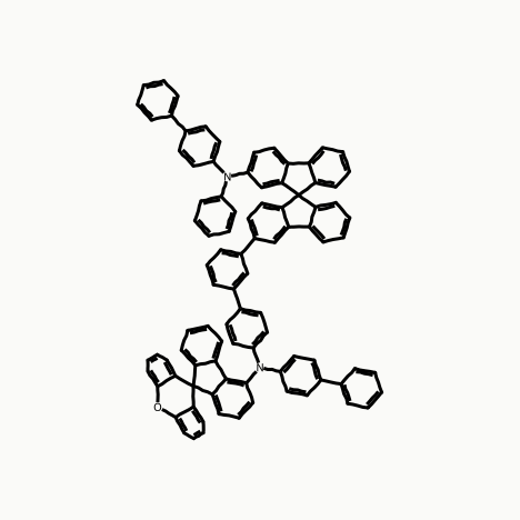 c1ccc(-c2ccc(N(c3ccccc3)c3ccc4c(c3)C3(c5ccccc5-c5cc(-c6cccc(-c7ccc(N(c8ccc(-c9ccccc9)cc8)c8cccc9c8-c8ccccc8C98c9ccccc9Oc9ccccc98)cc7)c6)ccc53)c3ccccc3-4)cc2)cc1